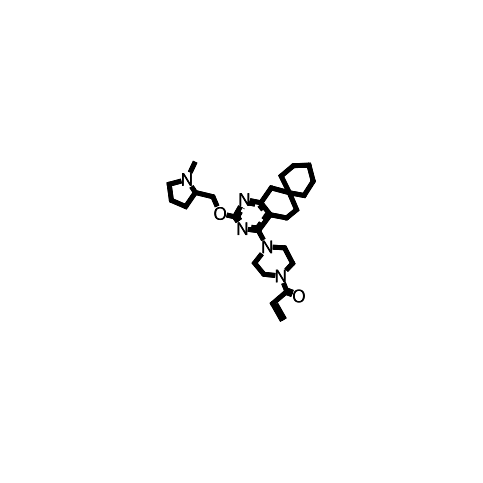 C=CC(=O)N1CCN(c2nc(OCC3CCCN3C)nc3c2CCC2(CCCCC2)C3)CC1